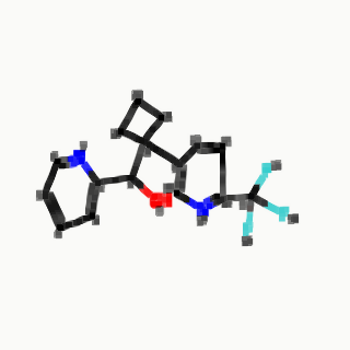 OC(c1ccccn1)C1(c2ccc(C(F)(F)F)nc2)CCC1